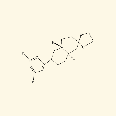 Fc1cc(F)cc(C2CC[C@@H]3CC4(CC[C@H]3C2)OCCO4)c1